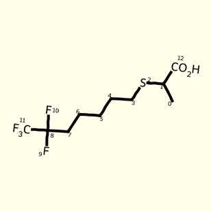 CC(SCCCCCC(F)(F)C(F)(F)F)C(=O)O